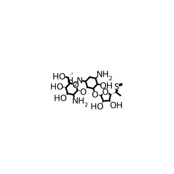 C=S=C(C)[C@H]1O[C@@H](OC2C(O)[C@H](N)CC(N)[C@H]2O[C@H]2OC([C@@H](C)O)[C@@H](O)C(O)C2N)[C@@H](O)C1O